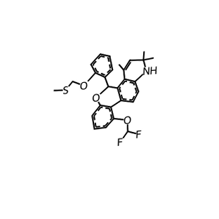 CSCOc1ccccc1C1Oc2cccc(OC(F)F)c2-c2ccc3c(c21)C(C)=CC(C)(C)N3